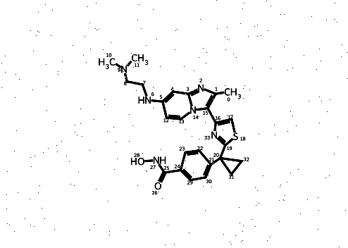 Cc1nc2cc(NCCN(C)C)ccn2c1-c1csc(C2(c3ccc(C(=O)NO)cc3)CC2)n1